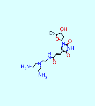 CC[C@H]1O[C@@H](n2cc(/C=C/C(=O)NCCN(CCN)CCN)c(=O)[nH]c2=O)C[C@H]1O